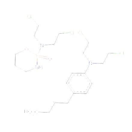 O=C(O)CCCc1ccc(N(CCCl)CCCl)cc1.O=P1(N(CCCl)CCCl)NCCCO1